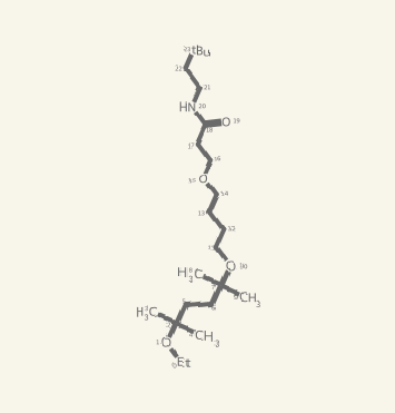 CCOC(C)(C)CCC(C)(C)OCCCCOCCC(=O)NCCC(C)(C)C